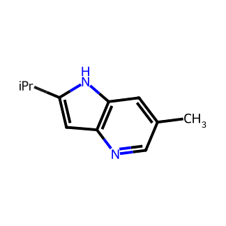 Cc1cnc2cc(C(C)C)[nH]c2c1